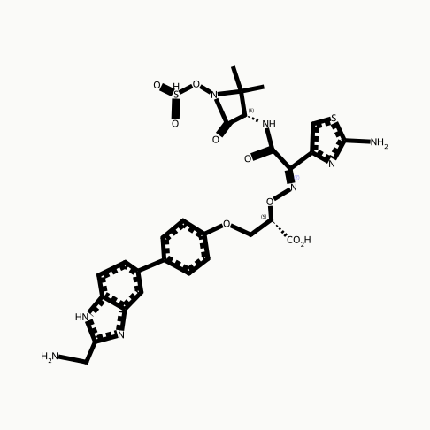 CC1(C)[C@H](NC(=O)/C(=N\O[C@@H](COc2ccc(-c3ccc4[nH]c(CN)nc4c3)cc2)C(=O)O)c2csc(N)n2)C(=O)N1O[SH](=O)=O